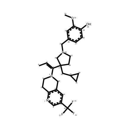 C/C=C(\N1CCc2ncc(C(F)(F)F)cc2C1)C1(CC2CC2)CCN(Cc2ccc(O)c(OC)c2)C1